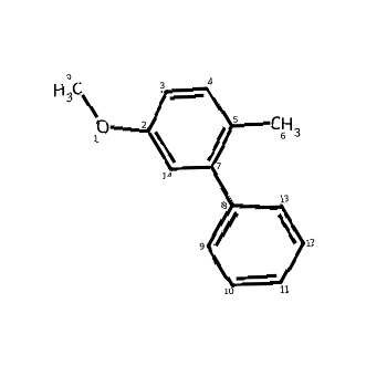 COc1[c]cc(C)c(-c2ccccc2)c1